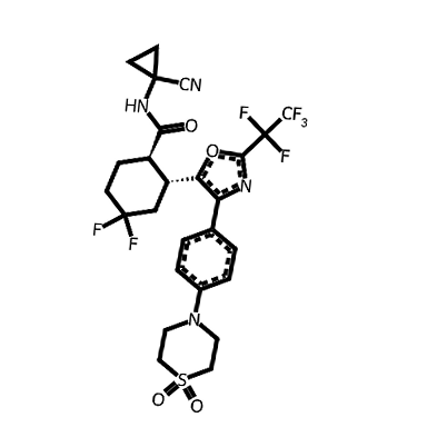 N#CC1(NC(=O)[C@@H]2CCC(F)(F)C[C@H]2c2oc(C(F)(F)C(F)(F)F)nc2-c2ccc(N3CCS(=O)(=O)CC3)cc2)CC1